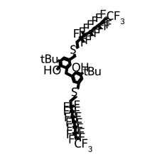 CC(C)(C)c1cc(CSCCC(F)(F)C(F)(F)C(F)(F)C(F)(F)C(F)(F)C(F)(F)C(F)(F)C(F)(F)F)cc(Cc2cc(CSCCC(F)(F)C(F)(F)C(F)(F)C(F)(F)C(F)(F)C(F)(F)C(F)(F)C(F)(F)F)cc(C(C)(C)C)c2O)c1O